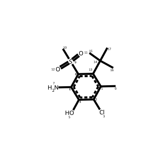 Cc1c(Cl)c(O)c(N)c(S(C)(=O)=O)c1C(C)(C)C